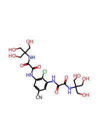 N#Cc1cc(NC(=O)C(=O)NC(CO)(CO)CO)c(Cl)c(NC(=O)C(=O)NC(CO)(CO)CO)c1